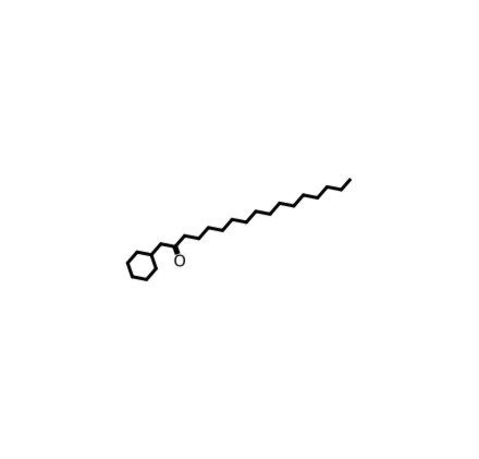 CCCCCCCCCCCCCCCC(=O)CC1CCCCC1